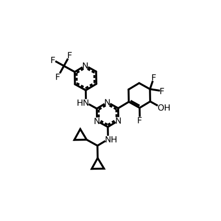 OC1C(F)=C(c2nc(Nc3ccnc(C(F)(F)F)c3)nc(NC(C3CC3)C3CC3)n2)CCC1(F)F